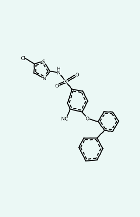 N#Cc1cc(S(=O)(=O)Nc2ncc(Cl)s2)ccc1Oc1ccccc1-c1ccccc1